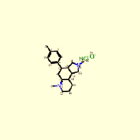 Cc1ccc(C2CC3=[N+](C)CCCC3C3CN(C)CC23)cc1.Cl.[Cl-]